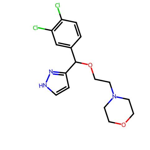 Clc1ccc(C(OCCN2CCOCC2)c2cc[nH]n2)cc1Cl